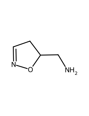 NCC1CC=NO1